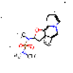 CN(C)S(=O)(=O)N(C)C1CC23CCCCC2=CN2C=CCCC2=C3O1